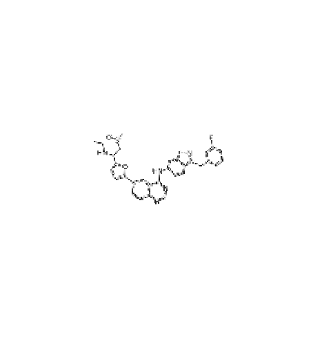 CCNC(C[S+](C)[O-])c1ccc(-c2ccc3ncnc(Nc4ccc5c(cnn5Cc5cccc(F)c5)c4)c3c2)o1